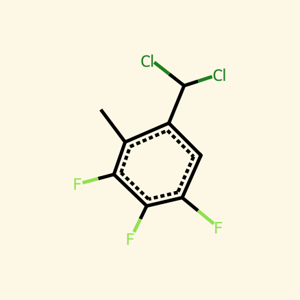 Cc1c(C(Cl)Cl)cc(F)c(F)c1F